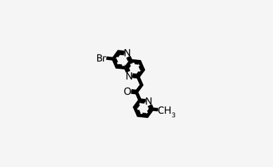 Cc1cccc(C(=O)Cc2ccc3ncc(Br)cc3n2)n1